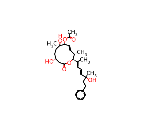 CC(=O)O[C@H]1/C=C/[C@H](C)[C@@H](/C(C)=C/C=C/[C@](C)(O)CCc2ccccc2)OC(=O)C[C@H](O)CC[C@@]1(C)O